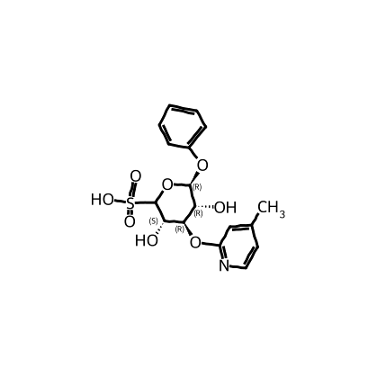 Cc1ccnc(O[C@@H]2[C@@H](O)[C@H](Oc3ccccc3)OC(S(=O)(=O)O)[C@H]2O)c1